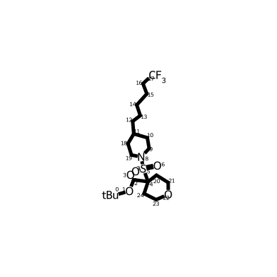 CC(C)(C)OC(=O)C1(S(=O)(=O)N2CCC(CCCCCC(F)(F)F)CC2)CCOCC1